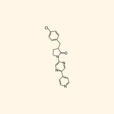 O=C1C(Cc2ccc(Cl)cc2)CCN1c1cnc(-c2ccncc2)cn1